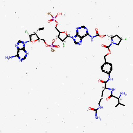 C=C[C@H]1[C@@H](F)[C@H](n2cnc3c(N)ncnc32)O[C@@H]1COP(=O)(S)O[C@@H]1C(COP(=O)(O)S)O[C@@H](n2cnc3c(NC(=O)OC[C@@H]4C[C@H](F)CN4C(=O)OCc4ccc(NC(=O)[C@H](CCCNC(N)=O)NC(=O)[C@@H](N)C(C)C)cc4)ncnc32)[C@@H]1F